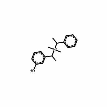 CC(c1ccccc1)[N+](C)(C)C(C)c1cccc(O)c1